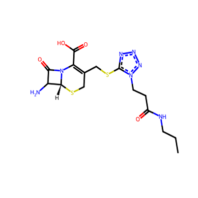 CCCNC(=O)CCn1nnnc1SCC1=C(C(=O)O)N2C(=O)C(N)[C@H]2SC1